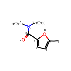 CCCCCCCCN(CCCCCCCC)C(=O)c1ccc(C)o1